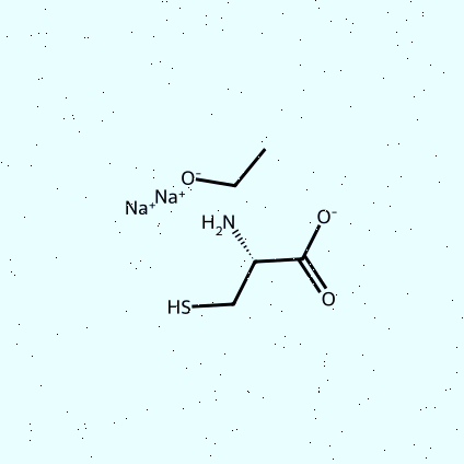 CC[O-].N[C@@H](CS)C(=O)[O-].[Na+].[Na+]